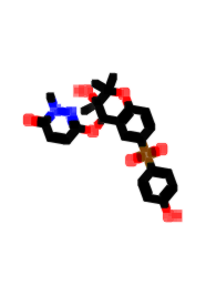 Cn1nc(O[C@@H]2c3cc(S(=O)(=O)c4ccc(O)cc4)ccc3OC(C)(C)[C@@]2(C)O)ccc1=O